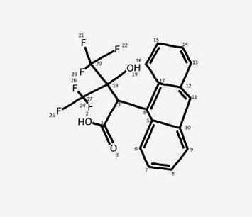 O=C(O)C(c1c2ccccc2cc2ccccc12)C(O)(C(F)(F)F)C(F)(F)F